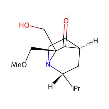 COC[C@@]1(CO)C(=O)[C@H]2CCN1[C@@H](C(C)C)C2